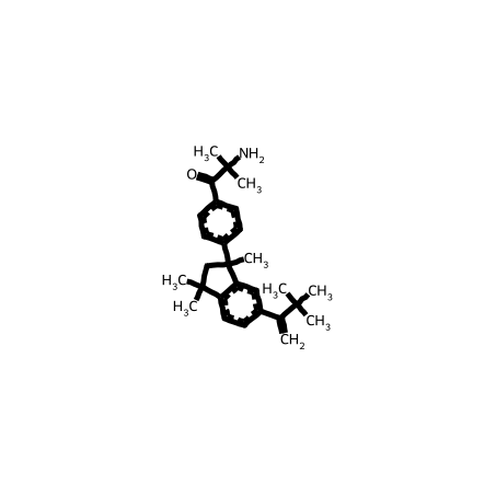 C=C(c1ccc2c(c1)C(C)(c1ccc(C(=O)C(C)(C)N)cc1)CC2(C)C)C(C)(C)C